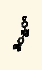 COc1ccc(-c2noc(-c3ccc([N+](=O)[O-])cc3)n2)cc1